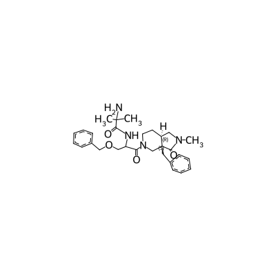 CN1C[C@@H]2CCN(C(=O)C(COCc3ccccc3)NC(=O)C(C)(C)N)C[C@@]2(Cc2ccccc2)C1=O